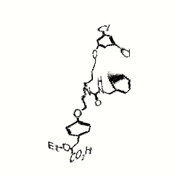 CCOC(Cc1ccc(OCCN(CCCCOc2cc(Cl)cc(Cl)c2)C(=O)NCc2ccccc2)cc1)C(=O)O